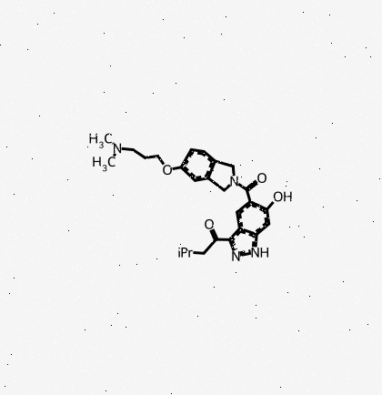 CC(C)CC(=O)c1n[nH]c2cc(O)c(C(=O)N3Cc4ccc(OCCCN(C)C)cc4C3)cc12